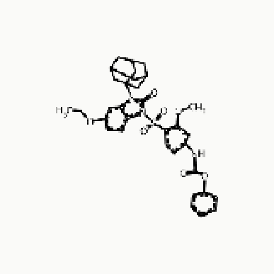 CCOc1ccc2c(c1)n(C13CC4CC(CC(C4)C1)C3)c(=O)n2S(=O)(=O)c1ccc(NC(=O)Oc2ccccc2)cc1OC